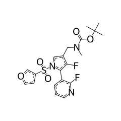 CN(Cc1cn(S(=O)(=O)c2ccoc2)c(-c2cccnc2F)c1F)C(=O)OC(C)(C)C